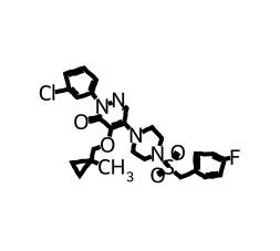 CC1(COc2c(N3CCN(S(=O)(=O)Cc4ccc(F)cc4)CC3)cnn(-c3cccc(Cl)c3)c2=O)CC1